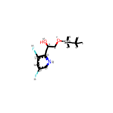 CC(C)(C)[Si](C)(C)OCC(O)c1ncc(F)cc1F